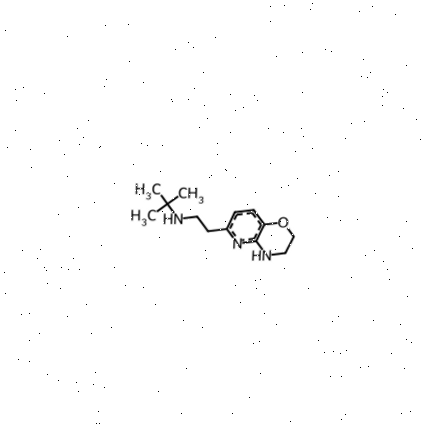 CC(C)(C)NCCc1ccc2c(n1)NCCO2